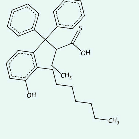 CCCCCCCc1c(O)cccc1C(c1ccccc1)(c1ccccc1)C(CC)C(O)=S